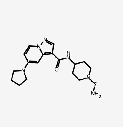 NSN1CCC(NC(=O)c2cnn3ccc(N4CCCC4)cc23)CC1